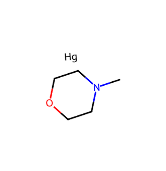 CN1CCOCC1.[Hg]